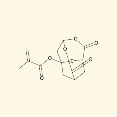 C=C(C)C(=O)OC12CC3OC(=O)C(CC(C1)C(=O)O3)C2